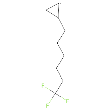 FC(F)(F)CCCCCC1[CH]C1